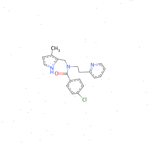 Cc1cc[nH]c1CN(CCc1ccccn1)C(=O)c1ccc(Cl)cc1